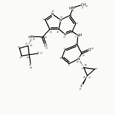 CNc1cc(Nc2cccn([C@@H]3C[C@H]3F)c2=O)nc2c(C(=O)N[C@H]3CCC3(F)F)cnn12